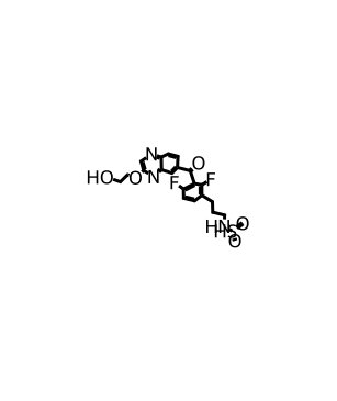 O=C(c1ccc2ncc(OCCO)nc2c1)c1c(F)ccc(CCCN[SH](=O)=O)c1F